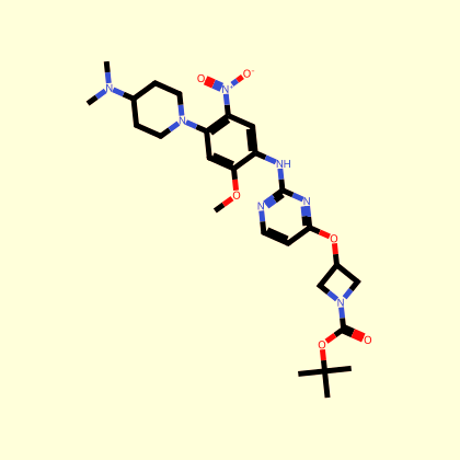 COc1cc(N2CCC(N(C)C)CC2)c([N+](=O)[O-])cc1Nc1nccc(OC2CN(C(=O)OC(C)(C)C)C2)n1